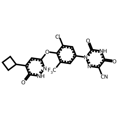 N#Cc1nn(-c2cc(Cl)c(Oc3cc(C4CCC4)c(=O)[nH]n3)c(C(F)(F)F)c2)c(=O)[nH]c1=O